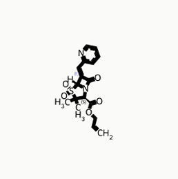 C=CCOC(=O)[C@@H]1N2C(=O)/C(=C\c3ccccn3)[C@H]2S(=O)(=O)C1(C)C